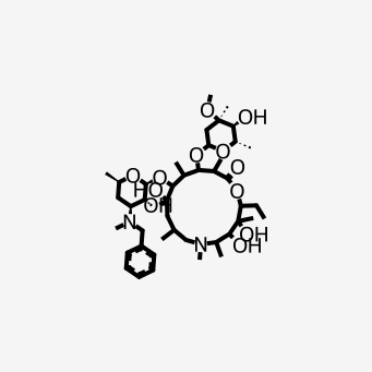 CCC1OC(=O)C(C)C(OC2C[C@@](C)(OC)[C@@H](O)[C@H](C)O2)C(C)C(O[C@@H]2O[C@H](C)C[C@H](N(C)Cc3ccccc3)[C@H]2O)C(C)(O)CC(C)CN(C)C(C)C(O)C1(C)O